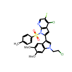 COc1cc2c(-c3cc4c(Cl)c(F)cnc4n3S(=O)(=O)c3ccc(C)cc3)cn(CCCl)c2cc1OC